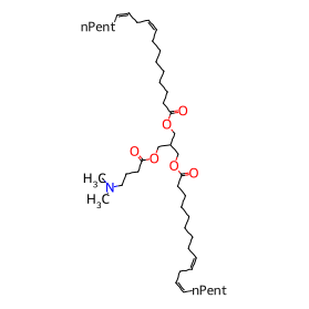 CCCCC/C=C\C/C=C\CCCCCCCC(=O)OCC(COC(=O)CCCCCCC/C=C\C/C=C\CCCCC)COC(=O)CCCN(C)C